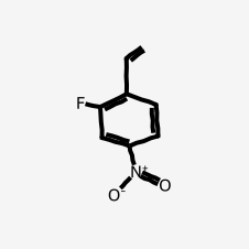 C=Cc1ccc([N+](=O)[O-])cc1F